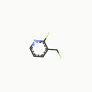 FCc1cccnc1F